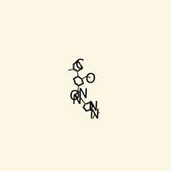 COCc1cc(-c2nc(-c3ccc(N(C)C)nc3)no2)ccc1-c1ccccc1C